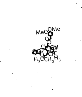 C=C(C)C1C[C@@H](C)C2C(C=C(COC(=O)Cc3ccc(OC)c(OC)c3)CC3(O)C(=O)C(C)=CC23)C(C)O[C@](O)(Cc2ccccc2)O1